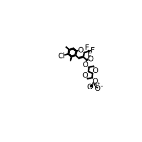 Cc1cc2c(c(C)c1Cl)C=C(C(=O)OC1COC3C(O[N+](=O)[O-])COC13)C(C(F)(F)F)O2